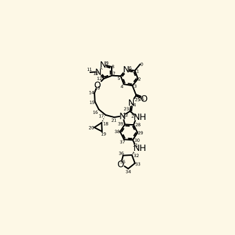 Cc1cc2cc(n1)-c1cnn(C)c1OCCC[C@@H](C1CC1)CN1/C(=N/C2=O)Nc2cc(N[C@@H]3CCOC3)ccc21